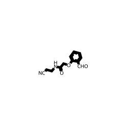 N#CCCNC(=O)COc1ccccc1C=O